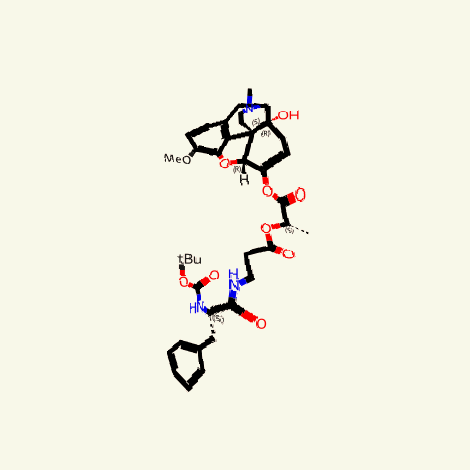 COc1ccc2c3c1O[C@H]1C(OC(=O)[C@H](C)OC(=O)CCNC(=O)[C@H](Cc4ccccc4)NC(=O)OC(C)(C)C)=CC[C@]4(O)C(C2)N(C)CC[C@]314